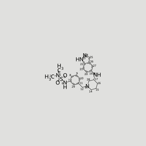 CN(C)S(=O)(=O)Nc1cccc(CN2CCCC(Nc3ccc4[nH]ncc4c3)C2)c1